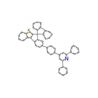 c1ccc(-c2cc(-c3ccc(-c4ccc5c(c4)C4(c6ccccc6-c6ccccc64)c4sc6ccccc6c4-5)cc3)cc(-c3ccccc3)n2)cc1